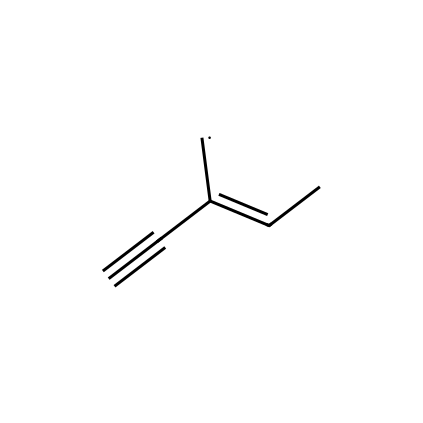 C#C/C([CH2])=C/C